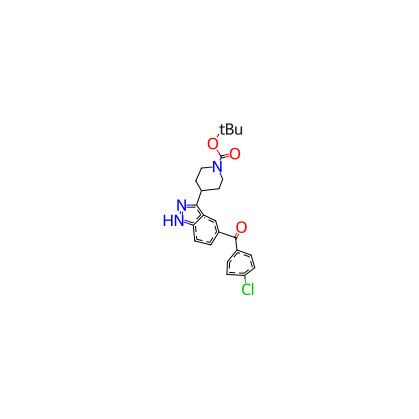 CC(C)(C)OC(=O)N1CCC(c2n[nH]c3ccc(C(=O)c4ccc(Cl)cc4)cc23)CC1